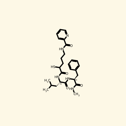 CNC(=O)[C@H](Cc1ccccc1)NC(=O)[C@H](CC(C)C)NC(=O)C(S)CCCNC(=O)c1ccccn1